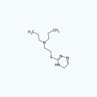 CCCN(CCC)CCSC1=NN=CCN1